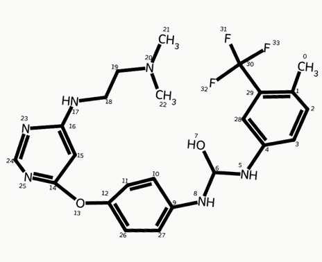 Cc1ccc(NC(O)Nc2ccc(Oc3cc(NCCN(C)C)ncn3)cc2)cc1C(F)(F)F